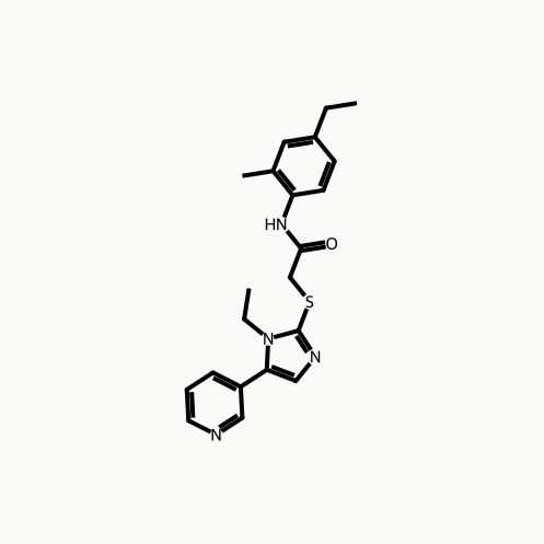 CCc1ccc(NC(=O)CSc2ncc(-c3cccnc3)n2CC)c(C)c1